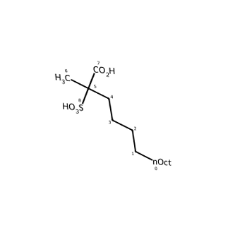 CCCCCCCCCCCCC(C)(C(=O)O)S(=O)(=O)O